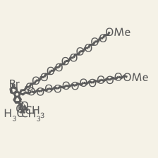 COCCOCCOCCOCCOCCOCCOCCOCCOCCOCCOCCOCCCC1(CCCOCCOCCOCCOCCOCCOCCOCCOCCOCCOCCOCCOC)c2cc(Br)ccc2-c2ccc(B3OC(C)C(C)(C)O3)cc21